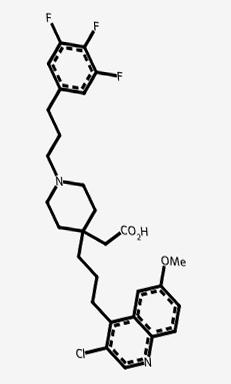 COc1ccc2ncc(Cl)c(CCCC3(CC(=O)O)CCN(CCCc4cc(F)c(F)c(F)c4)CC3)c2c1